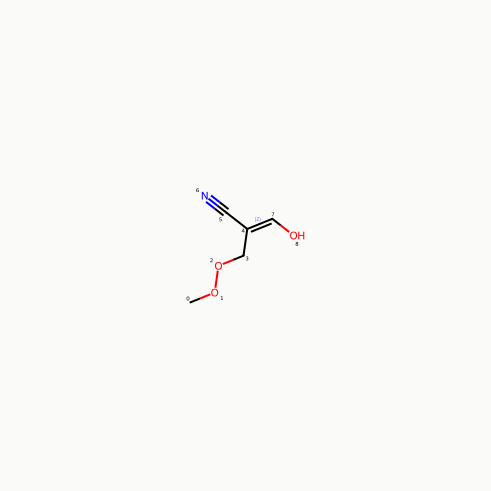 COOC/C(C#N)=C\O